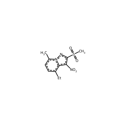 CCc1ccc(C)n2nc(S(C)(=O)=O)c([N+](=O)[O-])c12